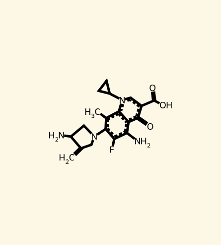 C=C1CN(c2c(F)c(N)c3c(=O)c(C(=O)O)cn(C4CC4)c3c2C)CC1N